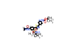 CC(C)OC(=O)Nc1ccc(-c2ncc(-c3ccc(NC(=O)C4CC4)cc3S(=O)(=O)NC(C)(C)C)s2)cc1